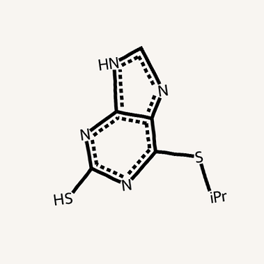 CC(C)Sc1nc(S)nc2[nH]cnc12